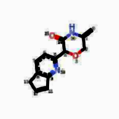 C=C1COC(c2ccc3c(n2)C=CC3)C(=O)N1